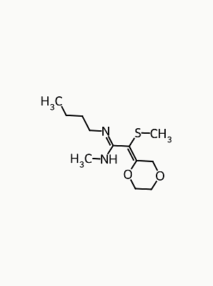 CCCC/N=C(NC)/C(SC)=C1/COCCO1